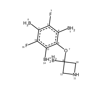 Bc1c(F)c(B)c(OC2(B)CNC2)c(B)c1F